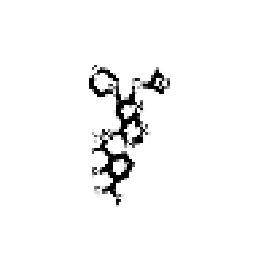 C[C@@H](Nc1ncnc2nc(OC3COC3)c(N3CCSCC3)cc12)c1cccc(C(F)F)c1F